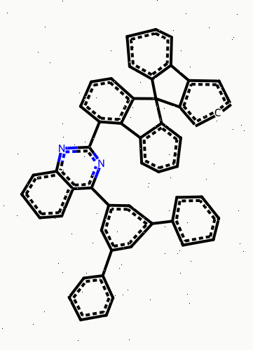 c1ccc(-c2cc(-c3ccccc3)cc(-c3nc(-c4cccc5c4-c4ccccc4C54c5ccccc5-c5ccccc54)nc4ccccc34)c2)cc1